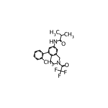 Cc1ccccc1-c1cc(NC(=O)C(C)C)cc2c1CCN(C(=O)C(F)(F)F)C2